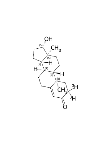 [3H]C1([3H])C[C@@]2(C)C(=CC1=O)CC[C@H]1[C@@H]3CC[C@H](O)[C@@]3(C)CC[C@@H]12